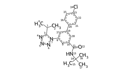 CC(C)c1nnnn1-c1cc(C(=O)NC(C)(C)C)cc(-c2ccc(Cl)cc2)c1